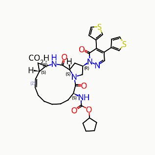 O=C(N[C@H]1CCCCC/C=C\[C@@H]2C[C@@]2(C(=O)O)NC(=O)[C@@H]2C[C@@H](n3ncc(-c4ccsc4)c(-c4ccsc4)c3=O)CN2C1=O)OC1CCCC1